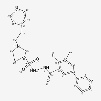 Cc1cc(-c2ccccc2)cc(C(=O)NNS(=O)(=O)C2CCN(CCc3ccccc3)C2)c1F